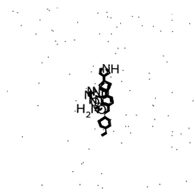 CC[C@H]1CC[C@H](CCc2ccc(-c3ccc(C4CCNC4)cc3)c(-c3nnn[nH]3)c2S(N)(=O)=O)CC1